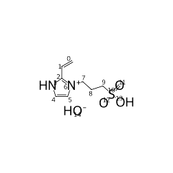 C=Cc1[nH]cc[n+]1CCCS(=O)(=O)O.[OH-]